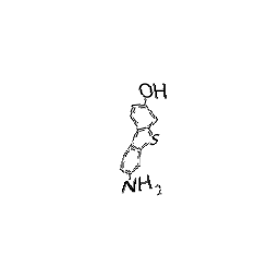 Nc1ccc2c(c1)sc1cc(O)ccc12